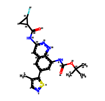 Cc1cnsc1-c1cc(NC(=O)OC(C)(C)C)c2nnc(NC(=O)C3CC3F)cc2c1